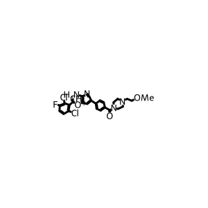 COCCN1CCN(C(=O)c2ccc(-c3cnc(N)c(OC(C)c4c(Cl)ccc(F)c4Cl)c3)cc2)CC1